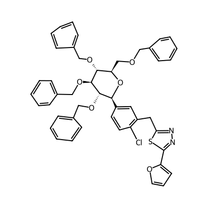 Clc1ccc([C@@H]2O[C@H](COCc3ccccc3)[C@@H](OCc3ccccc3)[C@H](OCc3ccccc3)[C@H]2OCc2ccccc2)cc1Cc1nnc(-c2ccco2)s1